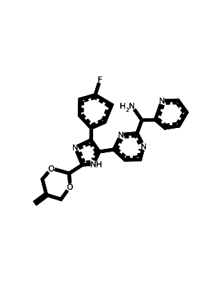 C=C1COC(c2nc(-c3ccc(F)cc3)c(-c3ccnc(C(N)c4ccccn4)n3)[nH]2)OC1